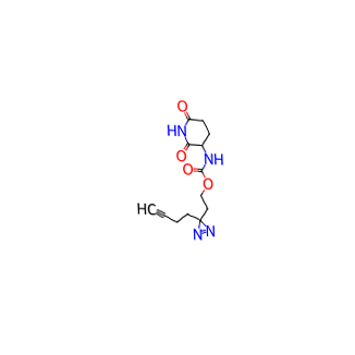 C#CCCC1(CCOC(=O)NC2CCC(=O)NC2=O)N=N1